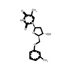 Cc1cccc(OC[C@H]2O[C@@H](n3cc(C)c(=O)[nH]c3=O)C[C@@H]2O)c1